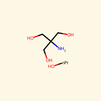 CCCO.NC(CO)(CO)CO